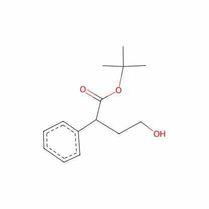 CC(C)(C)OC(=O)C(CCO)c1ccccc1